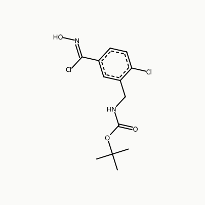 CC(C)(C)OC(=O)NCc1cc(C(Cl)=NO)ccc1Cl